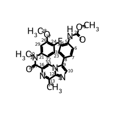 COC(=O)Nc1ccc(-c2cnc3c(C)nc(C(=O)N(C)c4ccc(F)c(OC)c4)cn23)cc1